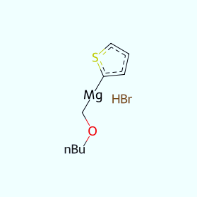 Br.CCCCO[CH2][Mg][c]1cccs1